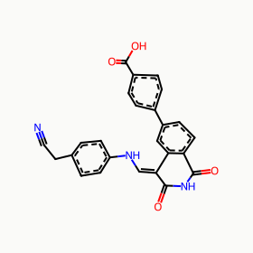 N#CCc1ccc(N/C=C2/C(=O)NC(=O)c3ccc(-c4ccc(C(=O)O)cc4)cc32)cc1